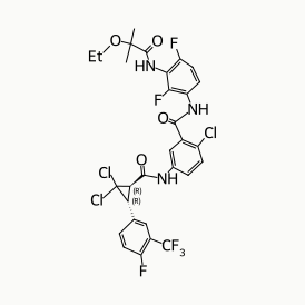 CCOC(C)(C)C(=O)Nc1c(F)ccc(NC(=O)c2cc(NC(=O)[C@H]3[C@H](c4ccc(F)c(C(F)(F)F)c4)C3(Cl)Cl)ccc2Cl)c1F